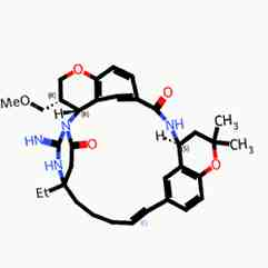 CCC12CCC/C=C/c3ccc4c(c3)[C@H](CC(C)(C)O4)NC(=O)c3ccc4c(c3)[C@@H]([C@H](COC)CO4)N(C(=N)N1)C(=O)C2